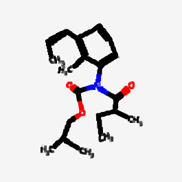 C/C=C\c1cccc(N(C(=O)OCC(C)C)C(=O)C(C)CC)c1C